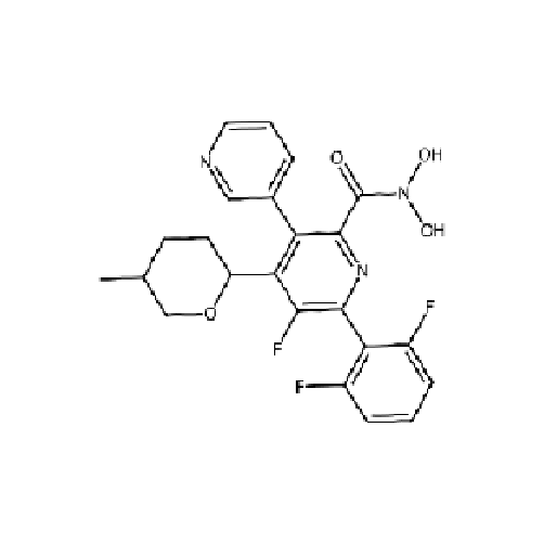 CC1CCC(c2c(F)c(-c3c(F)cccc3F)nc(C(=O)N(O)O)c2-c2cccnc2)OC1